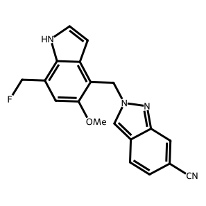 COc1cc(CF)c2[nH]ccc2c1Cn1cc2ccc(C#N)cc2n1